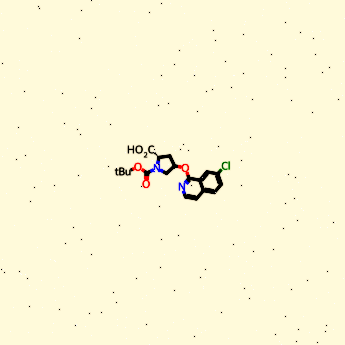 CC(C)(C)OC(=O)N1CC(Oc2nccc3ccc(Cl)cc23)C[C@H]1C(=O)O